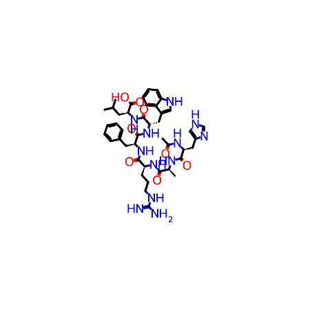 CC(=O)N[C@@H](Cc1c[nH]cn1)C(=O)N[C@@H](C)C(=O)N[C@@H](CCCNC(=N)N)C(=O)N[C@@H](Cc1ccccc1)C(=O)N[C@@H](Cc1c[nH]c2ccccc12)C(=O)N[C@@H](CC(C)C)C(=O)O